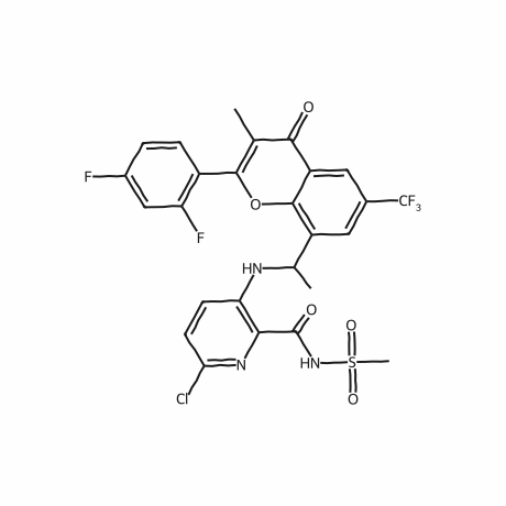 Cc1c(-c2ccc(F)cc2F)oc2c(C(C)Nc3ccc(Cl)nc3C(=O)NS(C)(=O)=O)cc(C(F)(F)F)cc2c1=O